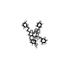 COc1ccc(SC(CCCCc2ccccc2)C(NC(=O)OCc2ccccc2)C(=O)NOCc2ccccc2)cc1